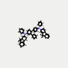 CC1(C)c2ccccc2-c2ccc(N(c3ccccc3)c3ccc(-c4ccc(N(C5=CC6C(C=C5)c5ccccc5C6(C)C)c5ccccc5)cc4-c4ccccc4)cc3)cc21